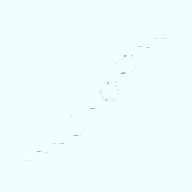 CCCCCCC1CCC(CCc2ccc(-c3ccc(CCCCC)cn3)cc2)CC1